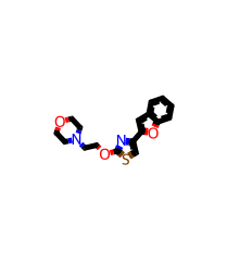 c1ccc2oc(-c3csc(OCCN4CCOCC4)n3)cc2c1